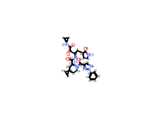 O=C(NC1CC1)C(=O)C(CC1CCNC1=O)NC(=O)C1CC2(CCN1C(=O)c1cnn(-c3ccccc3)n1)CC2